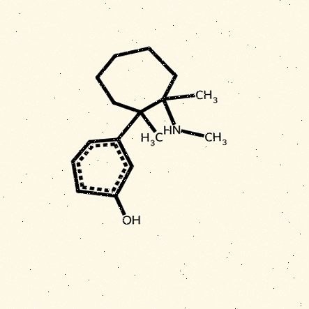 CNC1(C)CCCCCC1(C)c1cccc(O)c1